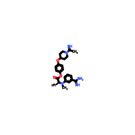 CCC[C@@H](C(=O)Oc1ccc(OC2CCN(C(C)=N)CC2)cc1)N(C)c1cccc(C(=N)N)c1